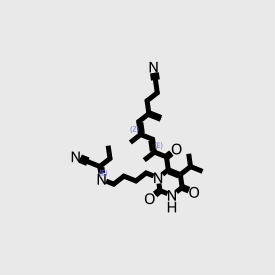 C=C(/C=C(C)\C=C(/C)C(=O)c1c(C(C)C)c(=O)[nH]c(=O)n1CCCC/N=C(/C#N)CC)CCC#N